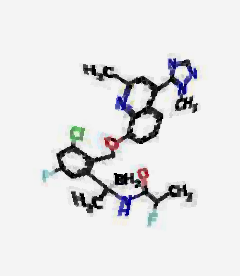 B[C@@](C)(NC(=O)C(C)F)c1cc(F)cc(Cl)c1COc1cccc2c(-c3ncnn3C)cc(C)nc12